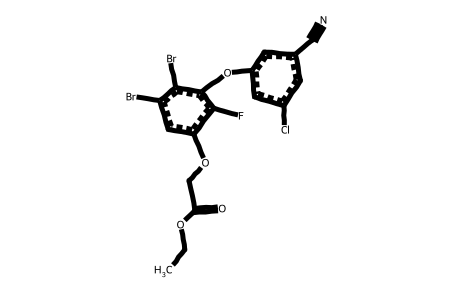 CCOC(=O)COc1cc(Br)c(Br)c(Oc2cc(Cl)cc(C#N)c2)c1F